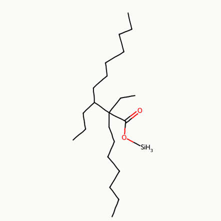 CCCCCCCC(CCC)C(CC)(CCCCCCC)C(=O)O[SiH3]